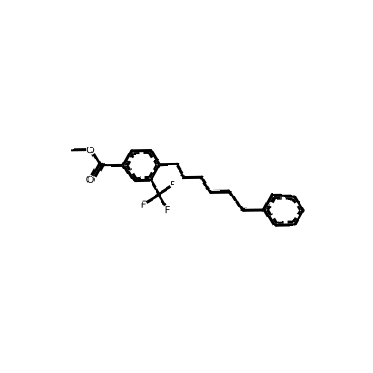 COC(=O)c1ccc(CCCCCCc2ccccc2)c(C(F)(F)F)c1